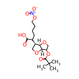 CC(C)(C)C(=O)O[C@@H]1CO[C@H]2[C@H]1OC[C@H]2C(CCCCO[N+](=O)[O-])C(=O)O